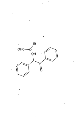 CCOC=O.O=C(c1ccccc1)C(O)c1ccccc1